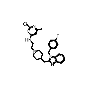 Cc1cc(NCCN2CCC(Cc3nc4ccccc4n3Cc3ccc(F)cc3)CC2)nc(Cl)n1